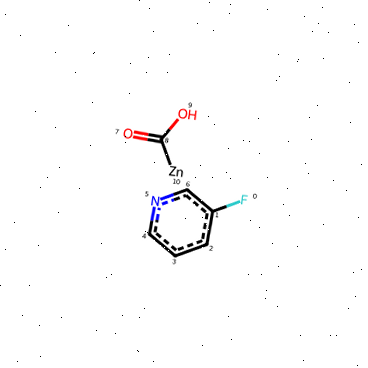 Fc1cccnc1.O=[C](O)[Zn]